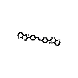 O=C(Nc1cccnc1Cl)c1ccc(/C=C/c2ccc(C(=O)Nc3cccnc3Cl)cc2)cc1